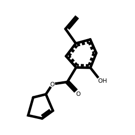 C=Cc1ccc(O)c(C(=O)OC2C=CCC2)c1